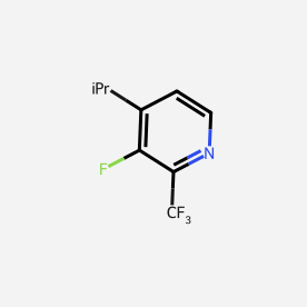 CC(C)c1ccnc(C(F)(F)F)c1F